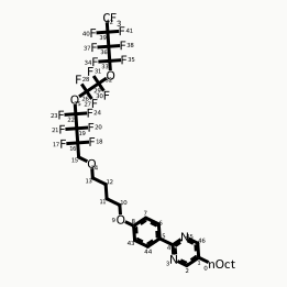 CCCCCCCCc1cnc(-c2ccc(OCCCCOCC(F)(F)C(F)(F)C(F)(F)OC(F)(F)C(F)(F)OC(F)(F)C(F)(F)C(F)(F)C(F)(F)F)cc2)nc1